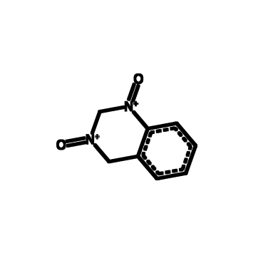 O=[N+]1Cc2ccccc2[N+](=O)C1